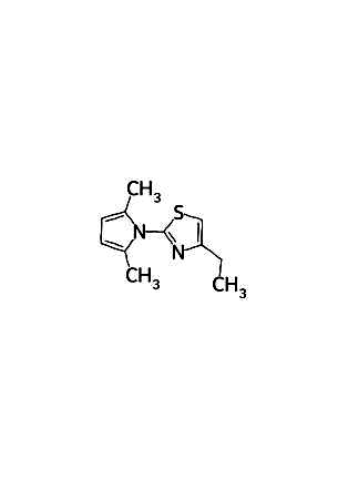 CCc1csc(-n2c(C)ccc2C)n1